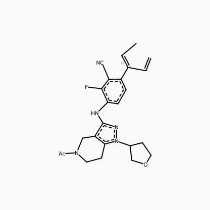 C=C/C(=C\C)c1ccc(Nc2nn(C3CCOC3)c3c2CN(C(C)=O)CC3)c(F)c1C#N